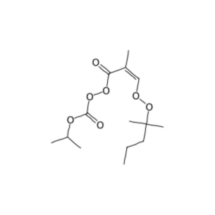 CCCC(C)(C)OOC=C(C)C(=O)OOC(=O)OC(C)C